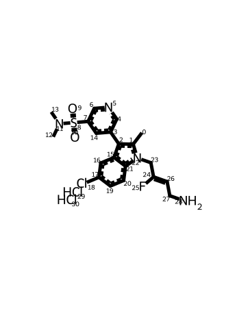 Cc1c(-c2cncc(S(=O)(=O)N(C)C)c2)c2cc(Cl)ccc2n1C/C(F)=C/CN.Cl.Cl